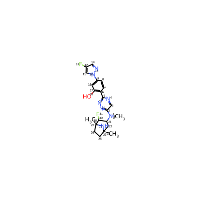 CN(c1cnc(-c2ccc(-n3cc(F)cn3)cc2O)nn1)[C@H]1C[C@]2(C)CC[C@@](C)(N2)[C@H]1F